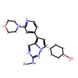 CC(C)Nc1ncc2c(-c3ccnc(N4CCOCC4)c3)cc([C@H]3CC[C@H](O)CC3)n2n1